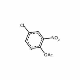 CC(=O)Oc1ncc(Cl)cc1[N+](=O)[O-]